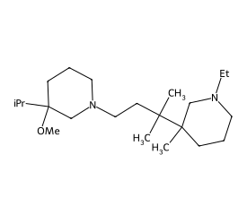 CCN1CCCC(C)(C(C)(C)CCN2CCCC(OC)(C(C)C)C2)C1